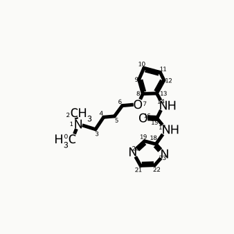 CN(C)CCCCOc1ccccc1NC(=O)Nc1cnccn1